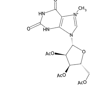 CC(=O)OC[C@H]1O[C@@H](n2c[n+](C)c3c(=O)[nH]c(=O)[nH]c32)[C@H](OC(C)=O)[C@@H]1OC(C)=O